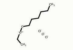 CCCCCC[O][Ti+3][CH2]C.[Cl-].[Cl-].[Cl-]